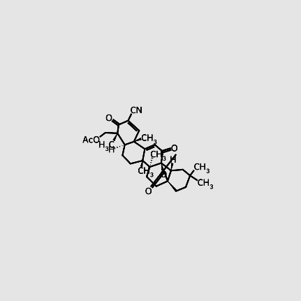 CC(=O)OC[C@]1(C)C(=O)C(C#N)=C[C@]2(C)C3=CC(=O)[C@]45OC(=O)[C@@]6(CCC(C)(C)C[C@H]64)CC[C@@]5(C)[C@]3(C)CC[C@H]21